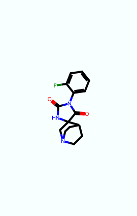 O=C1NC2(CN3CCC2CC3)C(=O)N1c1ccccc1F